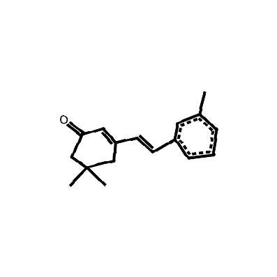 Cc1cccc(C=CC2=CC(=O)CC(C)(C)C2)c1